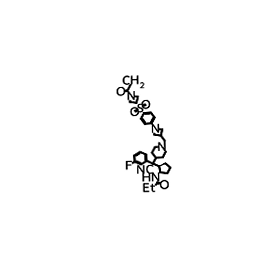 C=CC(=O)N1CC(S(=O)(=O)c2ccc(N3CC(CN4CCC([C@@](C#N)(c5cccc(F)c5)[C@H]5CCC[C@@H]5NC(=O)CC)CC4)C3)cc2)C1